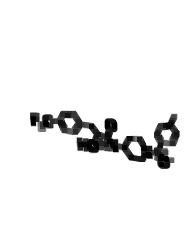 Cc1ccc([S+]([O-])N2CCC(NC(=O)C(O)Cc3ccc(C(F)(F)F)cc3)CC2)cc1